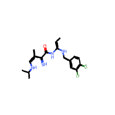 C/C=C(\NCc1ccc(Cl)c(Cl)c1)NC(=O)C(=N)/C(C)=C\NC(C)C